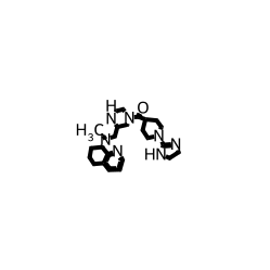 CN(CC1CN(C(=O)C2CCN(C3=NCCN3)CC2)CCN1)C1CCCc2cccnc21